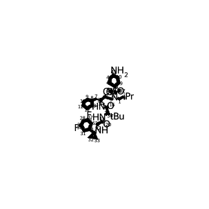 CC(C)CN(C[C@@H](O)[C@H](Cc1ccccc1)NC(=O)C(NC(=O)CNC1(c2cc(F)cc(F)c2)CC1)C(C)(C)C)S(=O)(=O)c1ccc(N)cc1